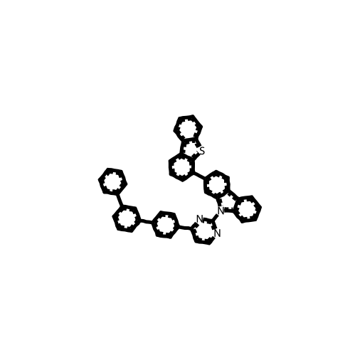 c1ccc(-c2cccc(-c3ccc(-c4ccnc(-n5c6ccccc6c6ccc(-c7cccc8c7sc7ccccc78)cc65)n4)cc3)c2)cc1